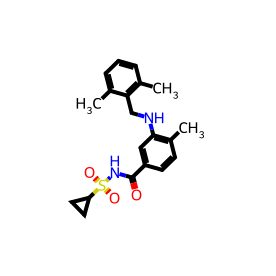 Cc1ccc(C(=O)NS(=O)(=O)C2CC2)cc1NCc1c(C)cccc1C